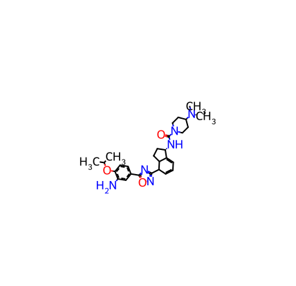 CC(C)Oc1ccc(-c2nc(C3C=CC=C4C3CC[C@@H]4NC(=O)N3CCC(N(C)C)CC3)no2)cc1N